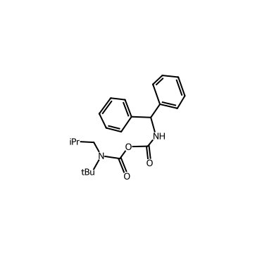 CC(C)CN(C(=O)OC(=O)NC(c1ccccc1)c1ccccc1)C(C)(C)C